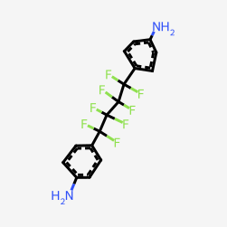 Nc1ccc(C(F)(F)C(F)(F)C(F)(F)C(F)(F)c2ccc(N)cc2)cc1